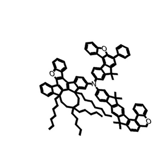 CCCCCCCC12CCC(CCCCC)(CCCCC)CCC3(CCCCCCC)c4cc(N(c5ccc6c(c5)C(C)(C)c5cc7c(cc5-6)C(C)(C)c5ccc6c(c5-7)-c5ccccc5OC6)c5ccc6c(c5)C(C)(C)c5cc(-c7ccccc7)c7oc8ccccc8c7c5-6)ccc4-c4c3c1c(c1oc3ccccc3c41)-c1ccccc12